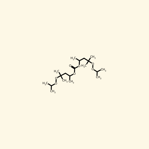 CC(C)OOC(C)(C)CC(C)OC(=O)OC(C)CC(C)(C)OOC(C)C